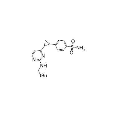 CC(C)(C)CNc1nccc(C2CC2c2ccc(S(N)(=O)=O)cc2)n1